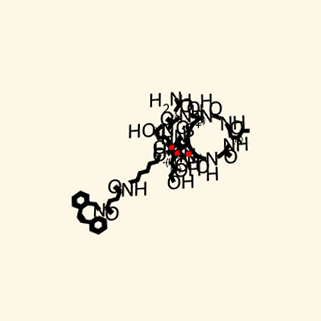 C=C1c2c([nH]c3cc(OCCCCCCNC(=O)CCC(=O)N4Cc5ccccc5C#Cc5ccccc54)ccc23)[S+]([O-])C[C@H]2NC(=O)CNC(=O)C([C@H](C)CC)NC(=O)CNC(=O)[C@H]1NC(=O)[C@H]([C@@H](C)[C@@H](O)CO)NC(=O)C1C[C@@H](O)CN1C(=O)[C@H](CC(N)=O)NC2=O